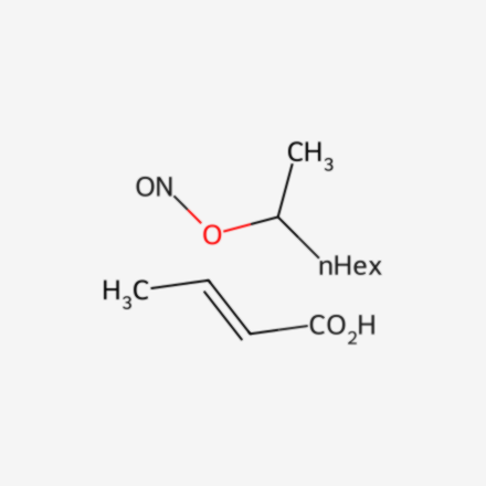 C/C=C/C(=O)O.CCCCCCC(C)ON=O